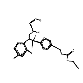 CCOC(=O)CCc1ccc(C(F)(F)C(CN(N)/C=N\N)c2ccc(F)cc2F)nc1